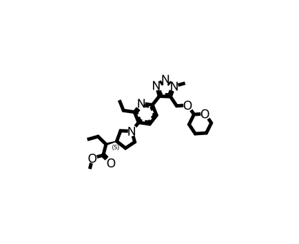 CCc1nc(-c2nnn(C)c2COC2CCCCO2)ccc1N1CC[C@@H](C(CC)C(=O)OC)C1